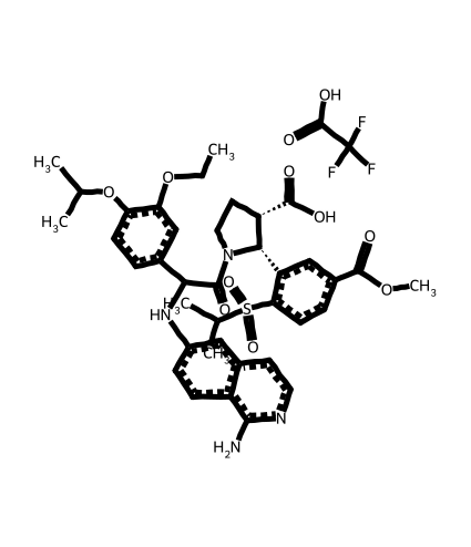 CCOc1cc(C(Nc2ccc3c(N)nccc3c2)C(=O)N2CC[C@H](C(=O)O)[C@@H]2c2cc(C(=O)OC)ccc2S(=O)(=O)C(C)C)ccc1OC(C)C.O=C(O)C(F)(F)F